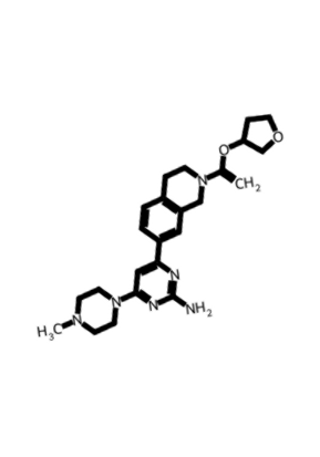 C=C(OC1CCOC1)N1CCc2ccc(-c3cc(N4CCN(C)CC4)nc(N)n3)cc2C1